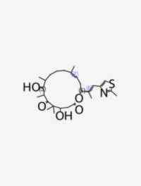 C/C1=C/C[C@@H](/C(C)=C/c2csc(C)n2)OC(=O)CC(O)C(C)(C)C(=O)C(C)[C@@H](O)C(C)CCC1